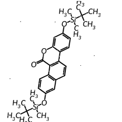 CC(C)(C)[Si](C)(C)Oc1ccc2c(ccc3c4ccc(O[Si](C)(C)C(C)(C)C)cc4oc(=O)c23)c1